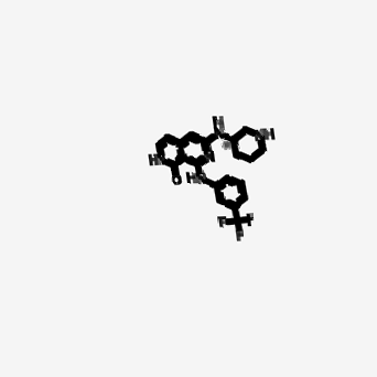 O=c1[nH]ccc2cc(N[C@@H]3CCCNC3)nc(Nc3cccc(C(F)(F)F)c3)c12